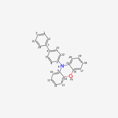 [c]1ccc(-c2ccc(N3c4ccccc4Oc4ccccc43)cc2)cc1